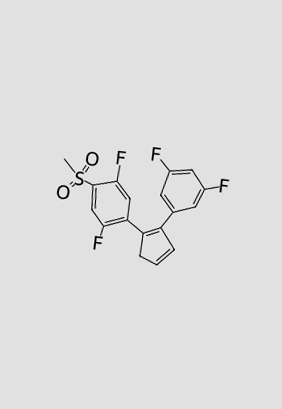 CS(=O)(=O)c1cc(F)c(C2=C(c3cc(F)cc(F)c3)C=CC2)cc1F